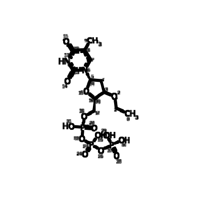 CCOC1C[C@H](n2cc(C)c(=O)[nH]c2=O)O[C@@H]1COP(=O)(O)OP(=O)(O)OP(=O)(O)O